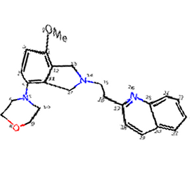 COc1ccc(N2CCOCC2)c2c1CN(CCc1ccc3ccccc3n1)C2